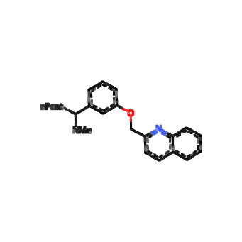 CCCCCC(NC)c1cccc(OCc2ccc3ccccc3n2)c1